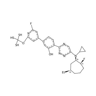 CC[C@@H]1CCC[C@H](F)[C@H](N(c2cnc(-c3ccc(-c4cc(F)nc(OC(S)(S)S)c4)cc3O)nn2)C2CC2)C1